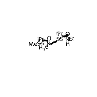 CCNC(=O)[C@H](SSCCCN(C)C(=O)[C@H](SSC)C(C)C)C(C)C